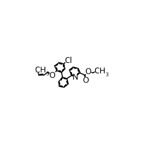 C/C=C\COc1ccc(Cl)cc1-c1ccccc1-c1cccc(C(=O)OCC)n1